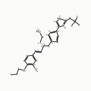 CCCOc1ccc(/C=C/[C@H](CCO)Cc2ccc(-c3c[nH]c(CC(C)(C)C)n3)cc2)cc1Cl